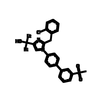 CCC(O)(CC)c1cn(-c2ccc(-c3cccc(S(C)(=O)=O)c3)cc2)c(Cc2ccccc2Cl)n1